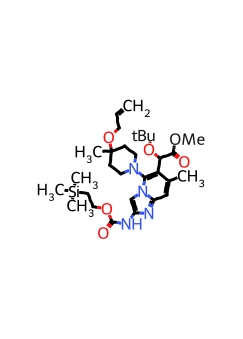 C=CCOC1(C)CCN(c2c(C(OC(C)(C)C)C(=O)OC)c(C)cc3nc(NC(=O)OCC[Si](C)(C)C)cn23)CC1